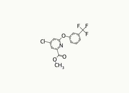 COC(=O)c1cc(Cl)cc(Oc2cccc(C(F)(F)F)c2)n1